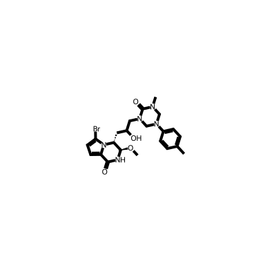 CO[C@H]1NC(=O)c2ccc(Br)n2[C@@H]1CC(O)CN1CN(c2ccc(C)cc2)CN(C)C1=O